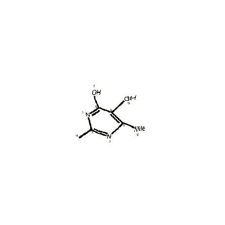 CNc1nc(C)nc(O)c1O